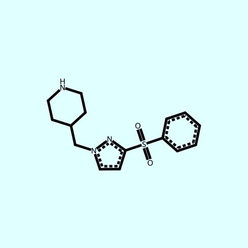 O=S(=O)(c1ccccc1)c1ccn(CC2CCNCC2)n1